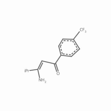 CC(C)C(N)=CC(=O)c1ccc(C(F)(F)F)cc1